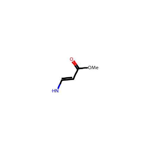 COC(=O)/C=C/[NH]